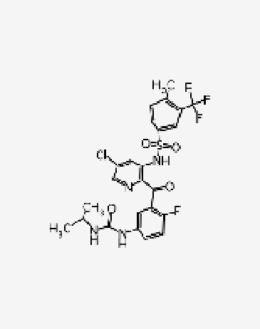 Cc1ccc(S(=O)(=O)Nc2cc(Cl)cnc2C(=O)c2cc(NC(=O)NC(C)C)ccc2F)cc1C(F)(F)F